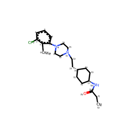 COc1c(Cl)cccc1N1CCN(CC[C@H]2CC[C@H](NC(=O)CC#N)CC2)CC1